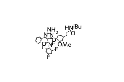 CC[C@@H](C)NC(=O)CCc1ccc(Oc2nc(N)nc(-c3ccccc3)c2C(=O)N(F)c2c(F)cc(F)cc2F)c(OC)c1